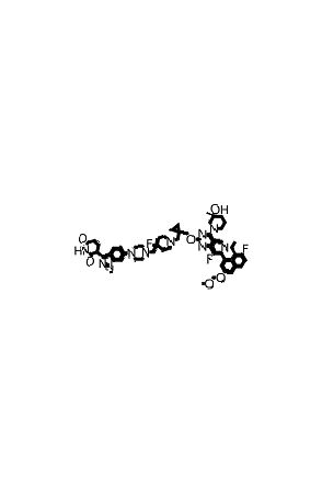 CCc1c(F)ccc2cc(OCOC)cc(-c3ncc4c(N5CCC[C@@](C)(O)C5)nc(OCC5(CN6CCC(F)(CN7CCN(c8ccc9c(C%10CCC(=O)NC%10=O)nn(C)c9c8)CC7)CC6)CC5)nc4c3F)c12